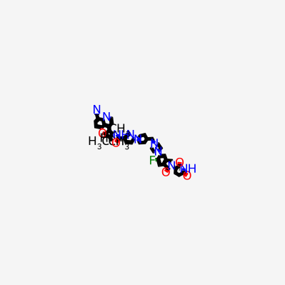 CC1(C)C(NC(=O)c2ccc(N3CCC(CN4CCN(c5cc6c(cc5F)C(=O)N([C@H]5CCC(=O)NC5=O)C6)CC4)CC3)nc2)C2(C)c3ccnc4c(C#N)ccc(c34)O[C@@H]12